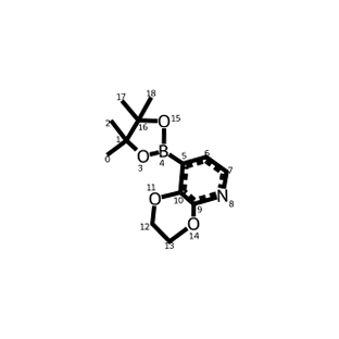 CC1(C)OB(c2ccnc3c2OCCO3)OC1(C)C